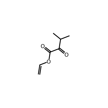 C=COC(=O)C(=O)C(C)C